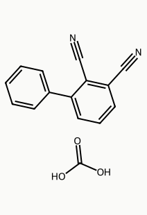 N#Cc1cccc(-c2ccccc2)c1C#N.O=C(O)O